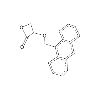 O=C1OCC1OCc1c2ccccc2cc2ccccc12